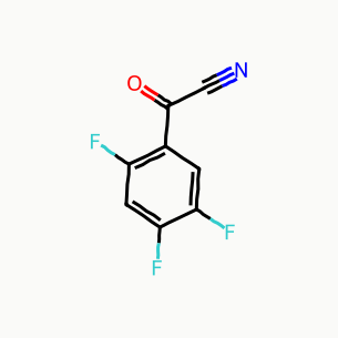 N#CC(=O)c1cc(F)c(F)cc1F